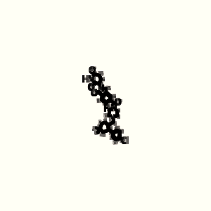 CC1(C)CCC(CN2CCN(C(=O)c3cc4c(cc3F)C(=O)N(C3CCC(=O)NC3=O)C4)CC2)=C(c2ccc(Cl)cc2)C1